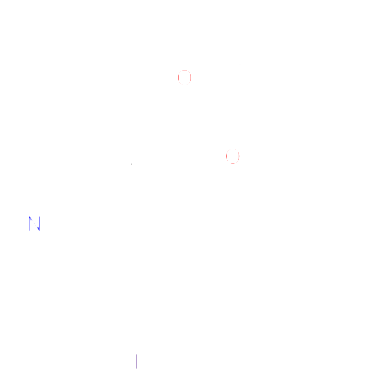 CC(C#N)(CCCI)C1Oc2ccccc2O1